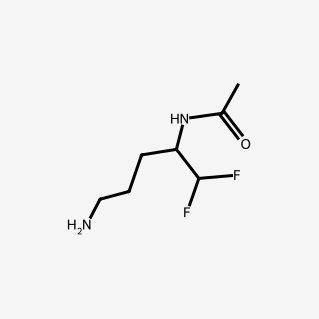 CC(=O)NC(CCCN)C(F)F